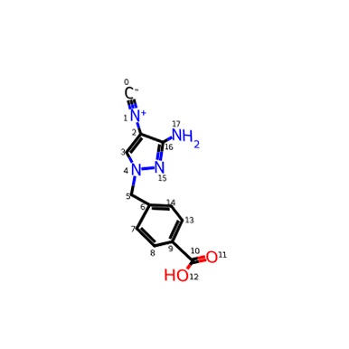 [C-]#[N+]c1cn(Cc2ccc(C(=O)O)cc2)nc1N